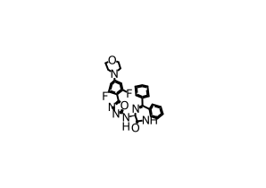 O=C1Nc2ccccc2C(c2ccccc2)=N[C@@H]1Nc1nnc(-c2c(F)cc(N3CCOCC3)cc2F)o1